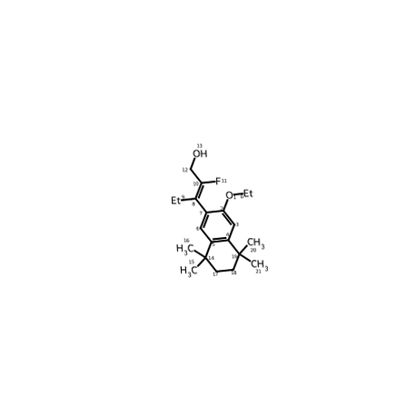 CCOc1cc2c(cc1C(CC)=C(F)CO)C(C)(C)CCC2(C)C